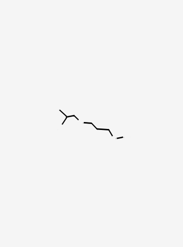 COCCCOCC(C)C